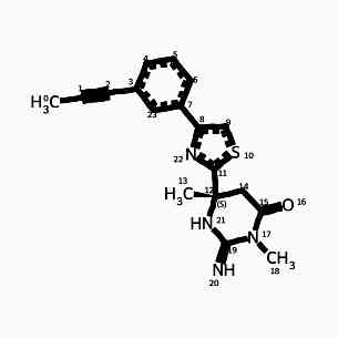 CC#Cc1cccc(-c2csc([C@]3(C)CC(=O)N(C)C(=N)N3)n2)c1